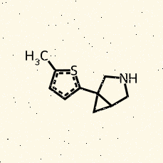 Cc1ccc(C23CNCC2C3)s1